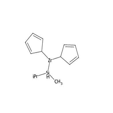 CC(C)[SiH](C)[Zr]([CH]1C=CC=C1)[CH]1C=CC=C1